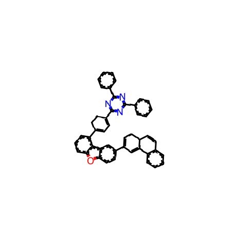 C1=CC2CC=C(c3ccc4oc5cccc(C6=CC=C(c7nc(-c8ccccc8)nc(-c8ccccc8)n7)CC6)c5c4c3)C=C2c2ccccc21